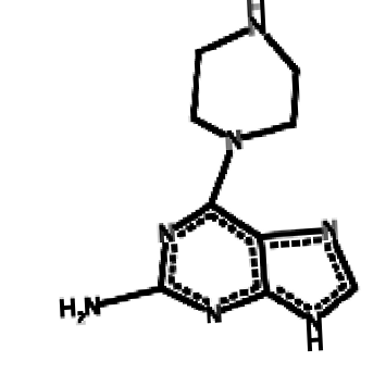 Nc1nc(N2CCNCC2)c2nc[nH]c2n1